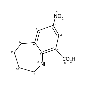 O=C(O)c1cc([N+](=O)[O-])cc2c1NCCCC2